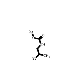 [3H]OC(=O)NCC(C)CC